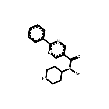 CC(=O)N(C(=O)c1cnc(-c2ccccc2)nc1)C1CCNCC1